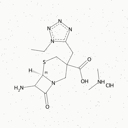 CCn1nnnc1CC1(C(=O)O)CS[C@@H]2C(N)C(=O)N2C1.CNC.Cl